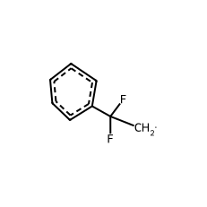 [CH2]C(F)(F)c1ccccc1